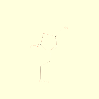 CCCCCCCC1=CC(O)CC1=O